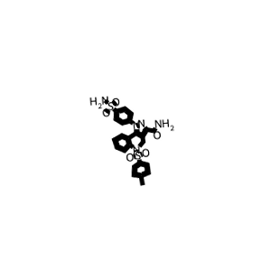 Cc1ccc(S(=O)(=O)N2Cc3c(C(N)=O)nn(-c4ccc(S(N)(=O)=O)cc4)c3-c3ccccc32)cc1